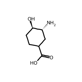 N[C@@H]1CC(C(=O)O)CC[C@H]1O